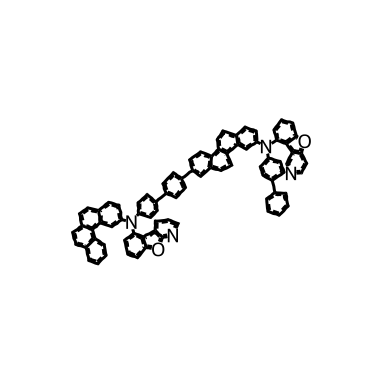 c1ccc(-c2ccc(N(c3ccc4ccc5c6ccc(-c7ccc(-c8ccc(N(c9ccc%10ccc%11ccc%12ccccc%12c%11c%10c9)c9cccc%10oc%11ncccc%11c9%10)cc8)cc7)cc6ccc5c4c3)c3cccc4oc5ccncc5c34)cc2)cc1